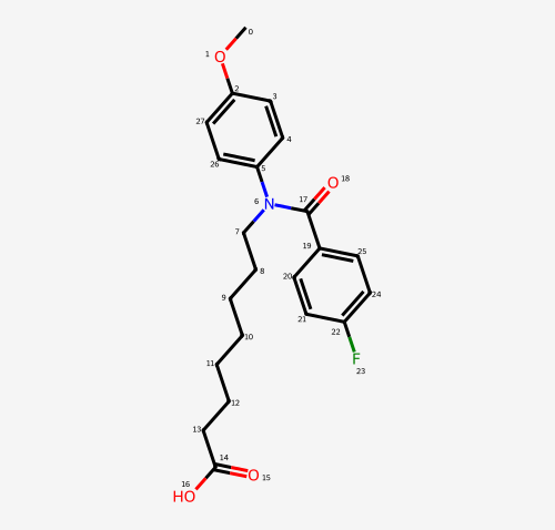 COc1ccc(N(CCCCCCCC(=O)O)C(=O)c2ccc(F)cc2)cc1